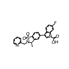 C[C@@H]1c2cc(-c3cn(C(=O)O)c4cc(F)ccc34)ccc2S(=O)(=O)N1Cc1ccccn1